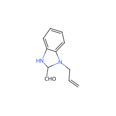 C=CCN1c2ccccc2NC1C=O